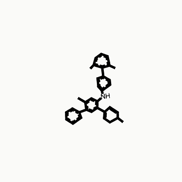 Cc1cc(Nc2ccc(-c3c(C)cccc3C)cc2)c(C2=CCC(C)C=C2)cc1-c1ccccc1